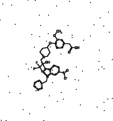 COc1cc(CC(=O)O)ccc1OC1CCN(CC(O)(c2cn(Cc3cccnc3)c3cc([N+](=O)[O-])ccc23)C(F)(F)F)CC1